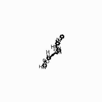 O=C(OC1CNC(C#Cc2cc3ncnc(Nc4ccc5c(cnn5Cc5ccccc5)c4)c3s2)C1)N1CCNCC1